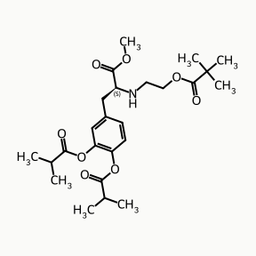 COC(=O)[C@H](Cc1ccc(OC(=O)C(C)C)c(OC(=O)C(C)C)c1)NCCOC(=O)C(C)(C)C